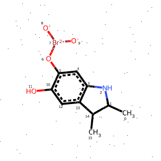 CC1Nc2cc(O[Br+2]([O-])[O-])c(O)cc2C1C